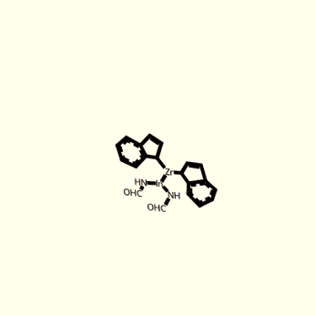 O=C[NH][In]([NH]C=O)[Zr]([CH]1C=Cc2ccccc21)[CH]1C=Cc2ccccc21